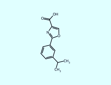 CC(C)c1cccc(-c2nc(C(=O)O)co2)c1